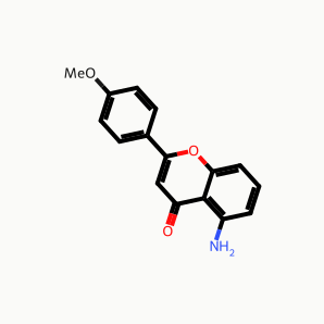 COc1ccc(-c2cc(=O)c3c(N)cccc3o2)cc1